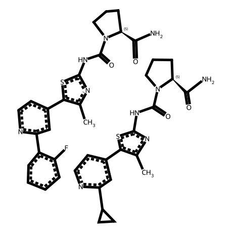 Cc1nc(NC(=O)N2CCC[C@H]2C(N)=O)sc1-c1ccnc(-c2ccccc2F)c1.Cc1nc(NC(=O)N2CCC[C@H]2C(N)=O)sc1-c1ccnc(C2CC2)c1